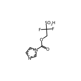 O=C(OCC(F)(F)S(=O)(=O)O)n1ccnc1